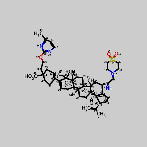 C=C(C)[C@@H]1CC[C@]2(NCCN3CCS(=O)(=O)CC3)CC[C@]3(C)[C@H](CC[C@@H]4[C@@]5(C)CC=C(C6=CCC(CCOc7nccc(C)n7)(C(=O)O)CC6)C(C)(C)[C@@H]5CC[C@]43C)[C@@H]12